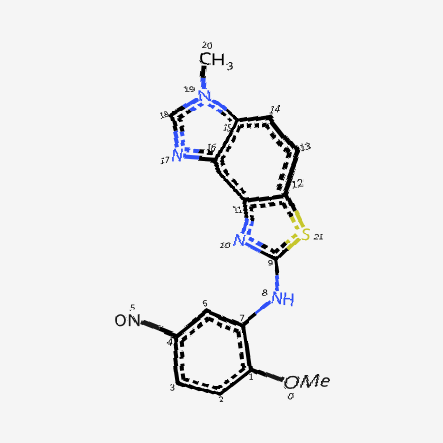 COc1ccc(N=O)cc1Nc1nc2c(ccc3c2ncn3C)s1